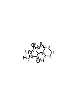 CC1CCCCC1C(C(N)O)P(=O)(S)S